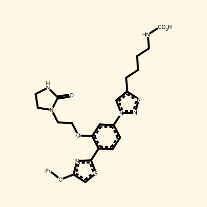 CC(C)Oc1csc(-c2ccc(-n3cc(CCCCNC(=O)O)nn3)cc2OCCN2CCNC2=O)n1